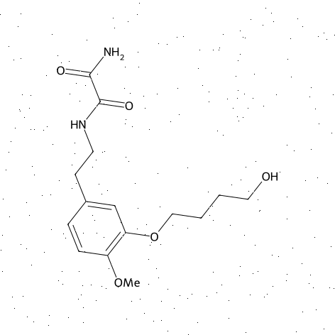 COc1ccc(CCNC(=O)C(N)=O)cc1OCCCCO